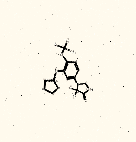 [2H]C([2H])([2H])Oc1ccc(C2CNC(=C)C2([2H])[2H])cc1OC1CCCC1